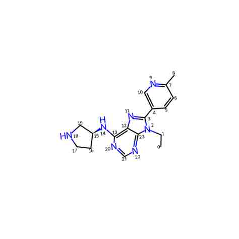 CCn1c(-c2ccc(C)nc2)nc2c(N[C@H]3CCNC3)ncnc21